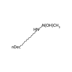 CCCCCCCCCCCCCCCCCCCCCCCCCCNCCCCN(C)O